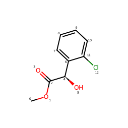 COC(=O)[C@H](O)c1ccccc1Cl